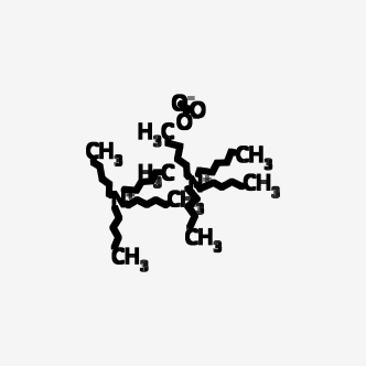 CCCCCC[N+](CCCCCC)(CCCCCC)CCCCCC.CCCCCC[N+](CCCCCC)(CCCCCC)CCCCCC.O=C([O-])[O-]